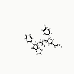 O=C(Nc1c2c(nn1-c1ccccc1)CCC2)NC1CN(CC(F)(F)F)C[C@H]1c1ccc(F)cc1